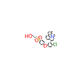 O=S(=O)(CCCO)c1ccc(Oc2ccc(Cl)c(-c3ccnc4c(C(F)(F)F)cccc34)c2)cc1